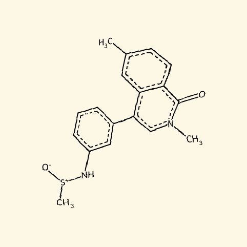 Cc1ccc2c(=O)n(C)cc(-c3cccc(N[S+](C)[O-])c3)c2c1